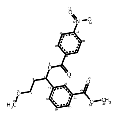 COCCC(OC(=O)c1ccc([N+](=O)[O-])cc1)c1cccc(C(=O)OC)c1